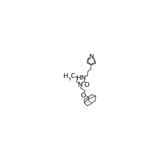 CCCN(CCOC12CC3CC(CC(C3)C1)C2)C(=O)NCCCc1ccncc1